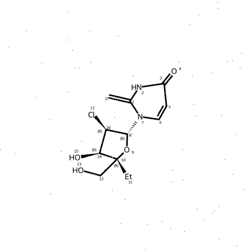 C=C1NC(=O)C=CN1[C@@H]1O[C@](CC)(CO)[C@@H](O)[C@H]1Cl